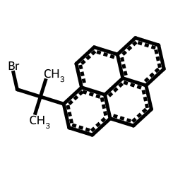 CC(C)(CBr)c1ccc2ccc3cccc4ccc1c2c34